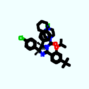 CC(C)Oc1cc(C(C)(C)C)ccc1C1=N[C@@](C)(c2ccc(Cl)cc2)[C@@](C)(c2ccc(Cl)cc2)N1C(=O)N1CCN2CCCCC2C1